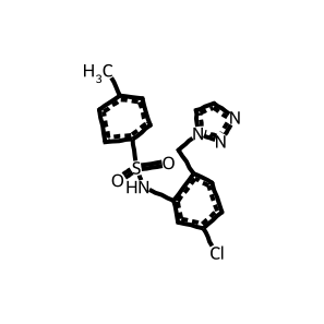 Cc1ccc(S(=O)(=O)Nc2cc(Cl)ccc2Cn2ccnn2)cc1